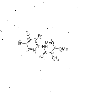 COC(OC)C(C)C(=O)Nc1ncc(Br)c(O)c1Br